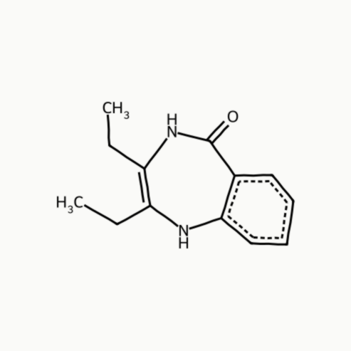 CCC1=C(CC)Nc2ccccc2C(=O)N1